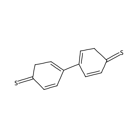 S=C1C=CC(C2=CCC(=S)C=C2)=CC1